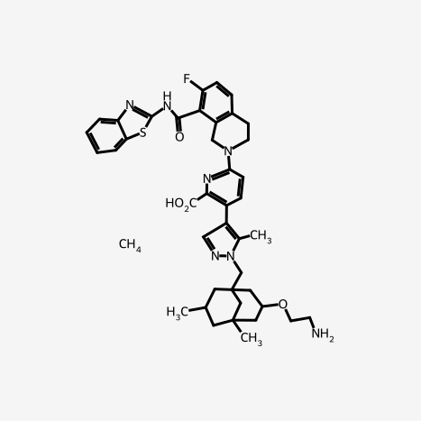 C.Cc1c(-c2ccc(N3CCc4ccc(F)c(C(=O)Nc5nc6ccccc6s5)c4C3)nc2C(=O)O)cnn1CC12CC(C)CC(C)(CC(OCCN)C1)C2